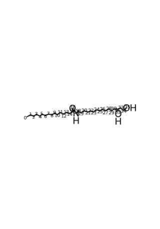 CCCCCCCCCCCCCCCC(=O)NCCCCCCCCCCCCCC(O)CCO